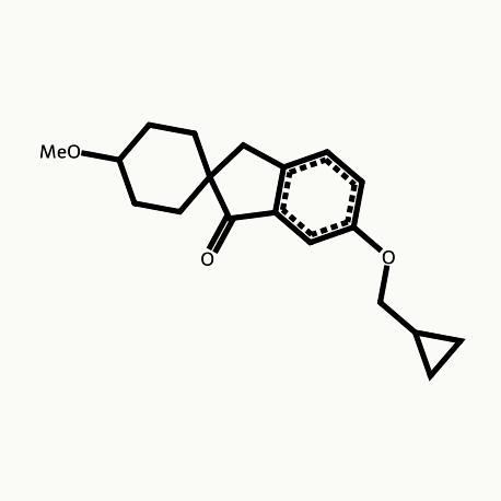 COC1CCC2(CC1)Cc1ccc(OCC3CC3)cc1C2=O